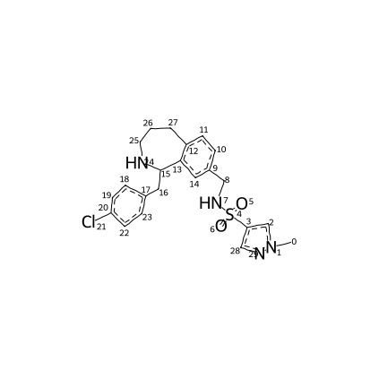 Cn1cc(S(=O)(=O)NCc2ccc3c(c2)C(Cc2ccc(Cl)cc2)NCCC3)cn1